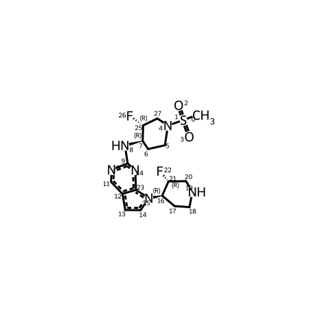 CS(=O)(=O)N1CC[C@@H](Nc2ncc3ccn([C@@H]4CCNC[C@H]4F)c3n2)[C@H](F)C1